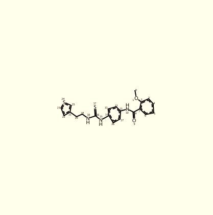 COc1ccccc1C(=O)Nc1ccc(NC(=S)NCCc2ccsc2)cc1